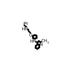 Cc1cc(Nc2cccc(OCCCNCCC(C)C)c2)c2ccccc2n1